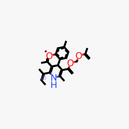 C=C(C)OCOC(=C)C1=C(C)NC(/C(C)=C\C)=C(C(=C)C)C1c1ccc(C)cc1OC